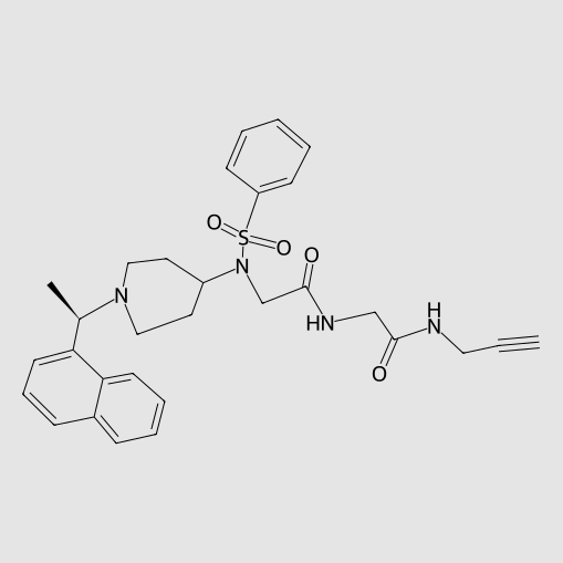 C#CCNC(=O)CNC(=O)CN(C1CCN([C@H](C)c2cccc3ccccc23)CC1)S(=O)(=O)c1ccccc1